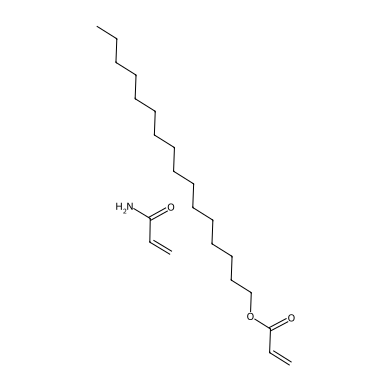 C=CC(=O)OCCCCCCCCCCCCCCCC.C=CC(N)=O